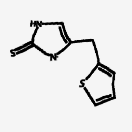 S=C1[N]C(Cc2cccs2)=CN1